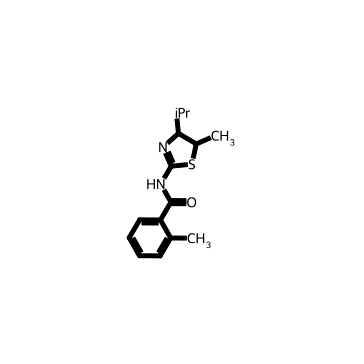 Cc1ccccc1C(=O)NC1=NC(C(C)C)C(C)S1